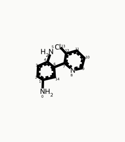 Nc1ccc(N)c(-c2ncccc2Cl)c1